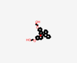 OCCOc1ccc2cc(C3(c4ccc5cc(OCCO)ccc5c4)CC4C=CC=CC4c4ccccc43)ccc2c1